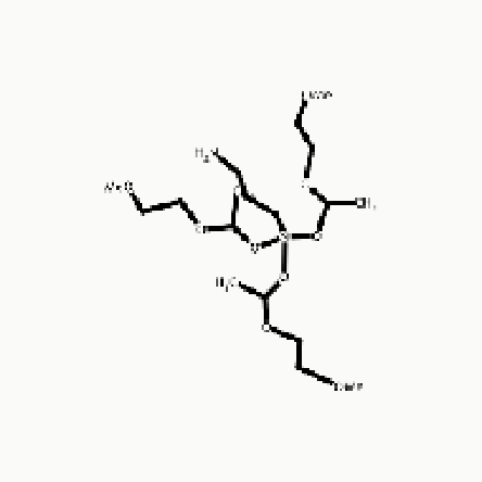 COCCOC(C)O[Si](CCCN)(OC(C)OCCOC)OC(C)OCCOC